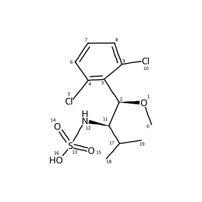 CO[C@H](c1c(Cl)cccc1Cl)[C@H](NS(=O)(=O)O)C(C)C